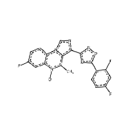 Cc1c2c(-c3noc(-c4ccc(F)cc4F)n3)ncn2c2ccc(F)cc2[n+]1[O-]